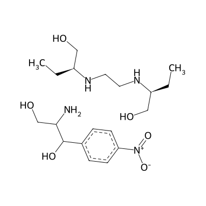 CC[C@@H](CO)NCCN[C@@H](CC)CO.NC(CO)C(O)c1ccc([N+](=O)[O-])cc1